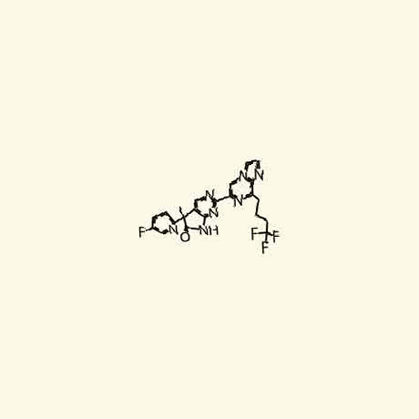 CC1(c2ccc(F)cn2)C(=O)Nc2nc(-c3cn4ccnc4c(CCCC(F)(F)F)n3)ncc21